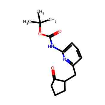 CC(C)(C)OC(=O)Nc1cccc(CC2CCCC2=O)n1